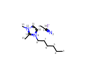 CC#N.CCCCCCn1cc[n+](C)c1C.[I-]